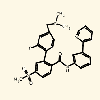 CN(C)Cc1ccc(-c2cc(S(C)(=O)=O)ccc2C(=O)Nc2cccc(-c3ccccn3)c2)c(F)c1